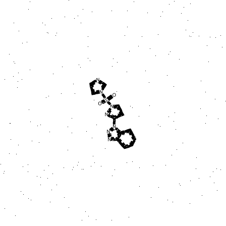 O=S(=O)(n1ccnc1)n1ccc(-n2nnc3ccccc32)n1